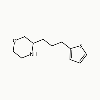 c1csc(CCCC2COCCN2)c1